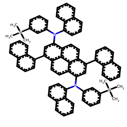 C[Si](C)(C)c1cccc(N(c2cccc3ccccc23)c2cc(-c3cccc4ccccc34)c3ccc4c(N(c5cccc([Si](C)(C)C)c5)c5cccc6ccccc56)cc(-c5cccc6ccccc56)c5ccc2c3c54)c1